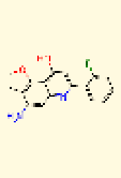 Nc1cc2nc(-c3ccccc3F)cc(O)c2c2c1CCO2